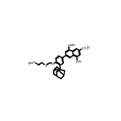 CCOC(=O)c1cc(OC(C)=O)c2cc(-c3ccc(OCOCCOC)c(C45CC6CC(CC(C6)C4)C5)c3)cc(OC)c2c1